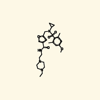 CCN1CCN(CCNC(=O)c2coc(CN(C3CC3)S(=O)(=O)c3c(C)cc(OC)cc3C)c2)CC1